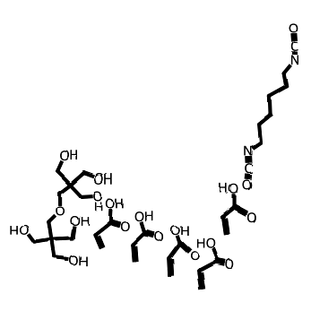 C=CC(=O)O.C=CC(=O)O.C=CC(=O)O.C=CC(=O)O.C=CC(=O)O.O=C=NCCCCCCN=C=O.OCC(CO)(CO)COCC(CO)(CO)CO